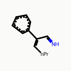 CCCC=C(C=N)c1ccccc1